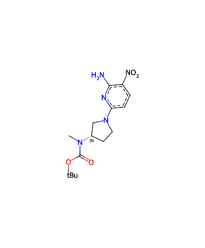 CN(C(=O)OC(C)(C)C)[C@H]1CCN(c2ccc([N+](=O)[O-])c(N)n2)C1